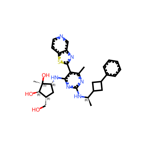 Cc1nc(N[C@H](C)C2CC(c3ccccc3)C2)nc(N[C@@H]2C[C@H](CO)[C@@H](O)[C@@]2(C)O)c1-c1nc2cnccc2s1